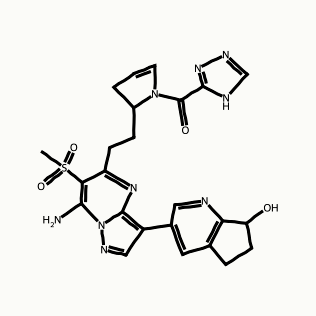 CS(=O)(=O)c1c(CCC2CC=CN2C(=O)c2nnc[nH]2)nc2c(-c3cnc4c(c3)CCC4O)cnn2c1N